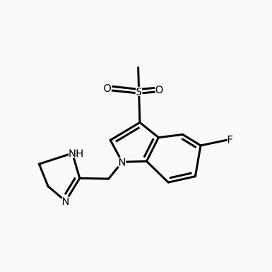 CS(=O)(=O)c1cn(CC2=NCCN2)c2ccc(F)cc12